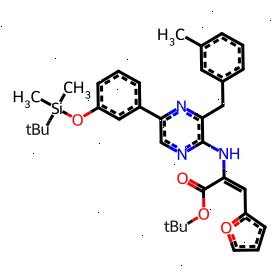 Cc1cccc(Cc2nc(-c3cccc(O[Si](C)(C)C(C)(C)C)c3)cnc2N/C(=C/c2ccco2)C(=O)OC(C)(C)C)c1